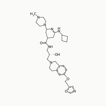 CN1CCN(C2CC(C(=O)NC[C@H](O)CN3CCc4cc(OCc5cnco5)ccc4C3)CC(NC3CCC3)=N2)CC1